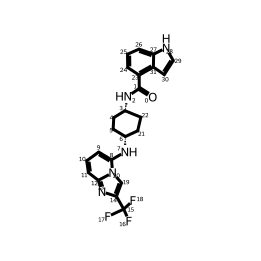 O=C(N[C@H]1CC[C@@H](Nc2cccc3nc(C(F)(F)F)cn23)CC1)c1cccc2[nH]ccc12